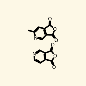 Cc1cc2c(cn1)C(=O)OC2=O.O=C1OC(=O)c2cnccc21